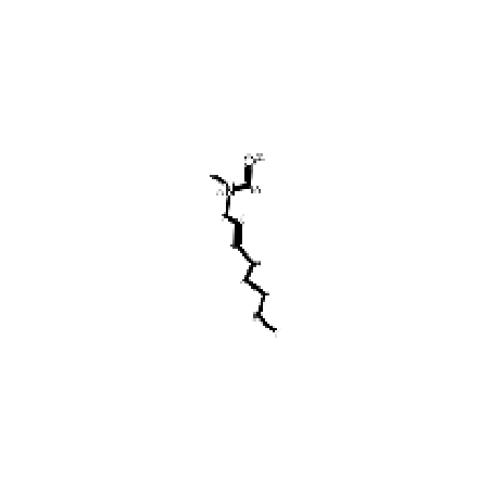 [CH2]CCCCC=CCN(C)C=O